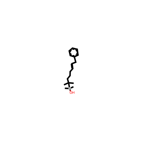 CC(C)(CCC/C=C/Cc1ccccc1)[Si](C)(C)O